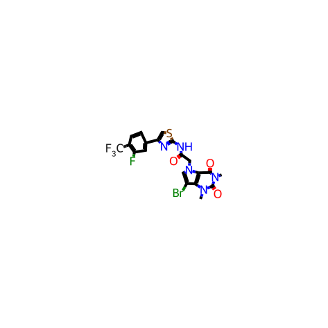 Cn1c(=O)c2c(c(Br)cn2CC(=O)Nc2nc(-c3ccc(C(F)(F)F)c(F)c3)cs2)n(C)c1=O